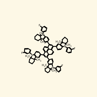 CC12CCCCC1(C)N(c1cccc(F)c1)c1ccc(-c3cc(-c4ccc5c(c4)C4(C)CCCCC4(C)N5c4cccc(F)c4)c4ccc5c(-c6ccc7c(c6)C6(C)CCCCC6(C)N7c6cccc(F)c6)cc(-c6ccc7c(c6)C6(C)CCCCC6(C)N7c6cccc(F)c6)c6ccc3c4c65)cc12